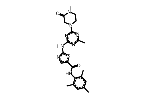 Cc1cc(C)c(NC(=O)c2cnc(Nc3nc(C)nc(N4CCNC(=O)C4)n3)s2)c(C)c1